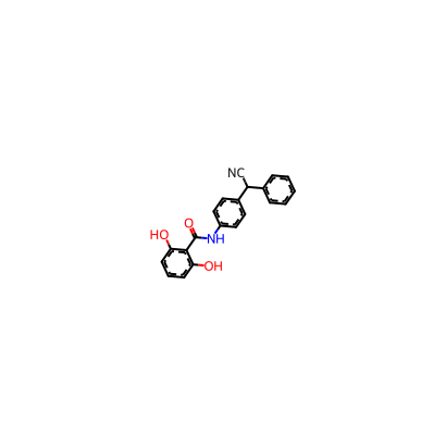 N#CC(c1ccccc1)c1ccc(NC(=O)c2c(O)cccc2O)cc1